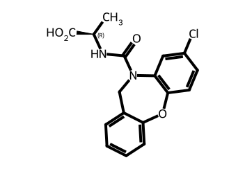 C[C@@H](NC(=O)N1Cc2ccccc2Oc2ccc(Cl)cc21)C(=O)O